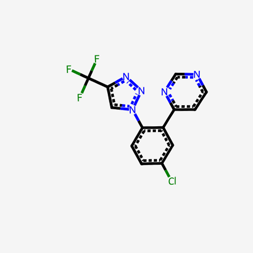 FC(F)(F)c1cn(-c2ccc(Cl)cc2-c2ccncn2)nn1